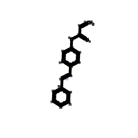 C=CC(=O)Oc1ccc(/C=C/c2cccnc2)nc1